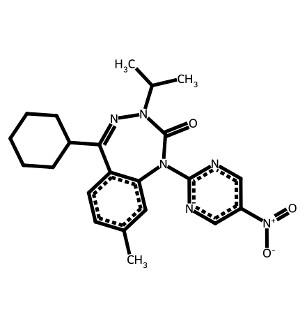 Cc1ccc2c(c1)N(c1ncc([N+](=O)[O-])cn1)C(=O)N(C(C)C)N=C2C1CCCCC1